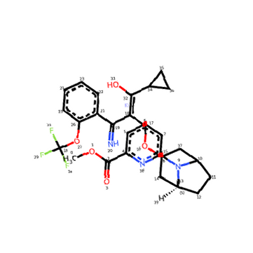 COC(=O)c1cccc(N2C3CC[C@H]2CC(OC/C(C(=N)c2ccccc2OC(F)(F)F)=C(/O)C2CC2)C3)n1